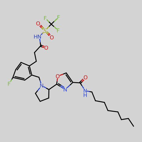 CCCCCCCCNC(=O)c1coc(C2CCCN2Cc2cc(F)ccc2CCC(=O)NS(=O)(=O)C(F)(F)F)n1